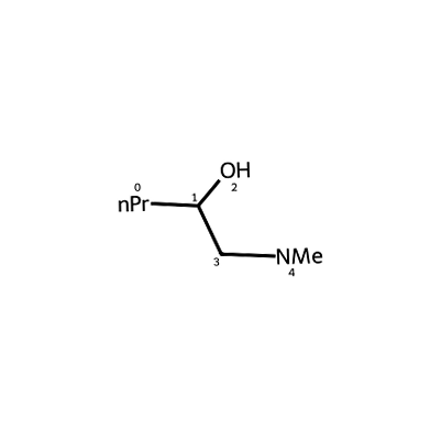 CCCC(O)CNC